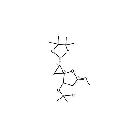 CO[C@@H]1O[C@]2(C[C@@H]2B2OC(C)(C)C(C)(C)O2)C2OC(C)(C)OC21